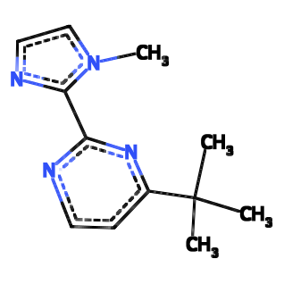 Cn1ccnc1-c1nccc(C(C)(C)C)n1